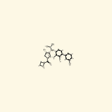 CC[S+]([O-])N[C@H]1[C@@H](F)CN(C(=O)C2CCO2)[C@H]1Cc1cccc(-c2cccc(Cl)c2)c1F